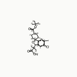 Cc1nc2c(cc1Cl)[C@@H](C(C)(C)C(=O)O)OC21CCN(C(=O)OC(C)(C)C)CC1